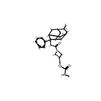 CNC(=O)OC1CN(C(=O)CC2(c3ccccc3)C3CC4CC2CC(C3)C4C)C1